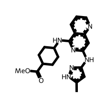 COC(=O)C1CCC(Nc2nc(Nc3cc(C)[nH]n3)cc3ncccc23)CC1